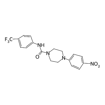 O=C(Nc1ccc(C(F)(F)F)cc1)N1CCN(c2ccc([N+](=O)[O-])cc2)CC1